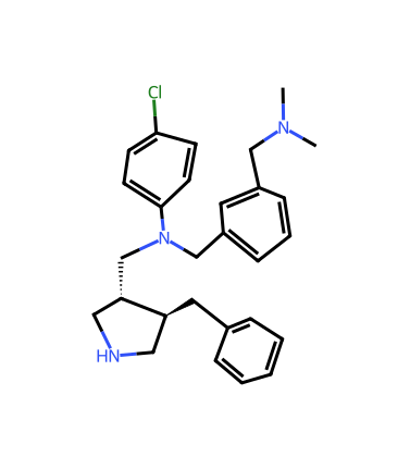 CN(C)Cc1cccc(CN(C[C@H]2CNC[C@@H]2Cc2ccccc2)c2ccc(Cl)cc2)c1